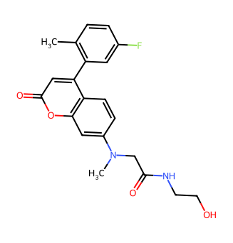 Cc1ccc(F)cc1-c1cc(=O)oc2cc(N(C)CC(=O)NCCO)ccc12